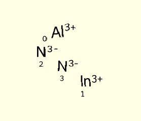 [Al+3].[In+3].[N-3].[N-3]